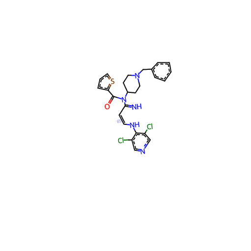 N=C(/C=C\Nc1c(Cl)cncc1Cl)N(C(=O)c1cccs1)C1CCN(Cc2ccccc2)CC1